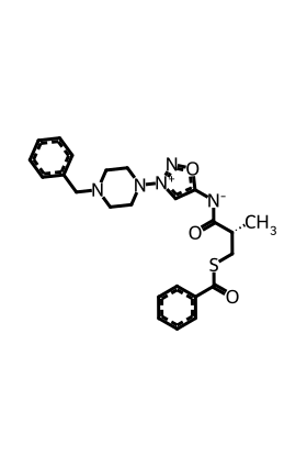 C[C@H](CSC(=O)c1ccccc1)C(=O)[N-]c1c[n+](N2CCN(Cc3ccccc3)CC2)no1